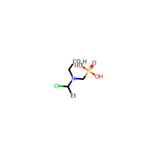 CCC(Cl)N(CC(=O)O)CP(=O)(O)O